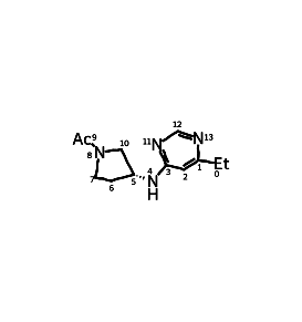 CCc1cc(N[C@@H]2CCN(C(C)=O)C2)ncn1